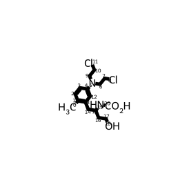 Cc1ccc(N(CCCl)CCCl)cc1CC(CCO)NC(=O)O